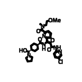 COCCN(C)C(=O)c1ccc2oc(C(=O)Nc3ccc(Cl)cn3)c(NC(=O)[C@H]3CC[C@H](C(O)N4CCCC4)CC3)c2n1